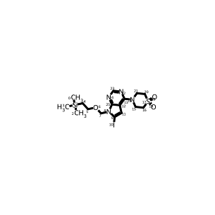 C[Si](C)(C)CCOCn1c(I)cc2c(N3CCS(=O)(=O)CC3)ncnc21